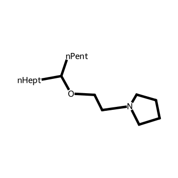 CCCCCCCC(CCCCC)OCCN1CCCC1